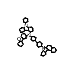 c1ccc(-n2c3ccccc3c3c(N(c4ccc(-c5ccc(-n6c7ccccc7c7c8ccccc8ccc76)cc5)cc4)c4ccc5oc6ccccc6c5c4)cccc32)cc1